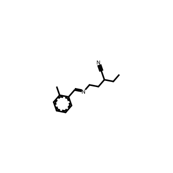 CCC(C#N)CC/N=C/c1ccccc1C